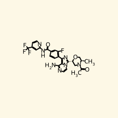 CC(=O)N1C[C@H](c2nc(-c3ccc(C(=O)Nc4cc(C(F)(F)F)ccn4)cc3F)c3c(N)nccn23)OC[C@H]1C